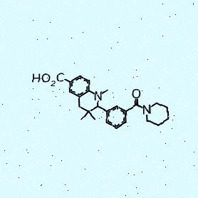 CN1c2ccc(C(=O)O)cc2CC(C)(C)C1c1cccc(C(=O)N2CCCCC2)c1